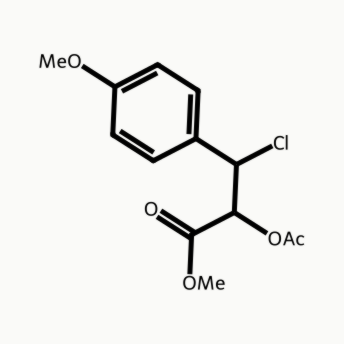 COC(=O)C(OC(C)=O)C(Cl)c1ccc(OC)cc1